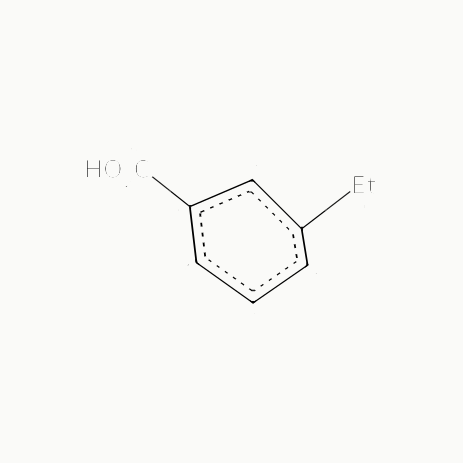 [CH2]Cc1cccc(C(=O)O)c1